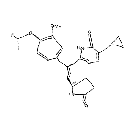 COc1cc(C(=C[C@H]2CCC(=O)N2)c2ccc(C3CC3)c(=O)[nH]2)ccc1OC(F)F